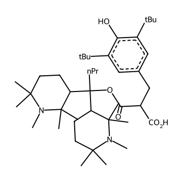 CCCC(OC(=O)C(Cc1cc(C(C)(C)C)c(O)c(C(C)(C)C)c1)C(=O)O)(C1CCC(C)(C)N(C)C1(C)C)C1CCC(C)(C)N(C)C1(C)C